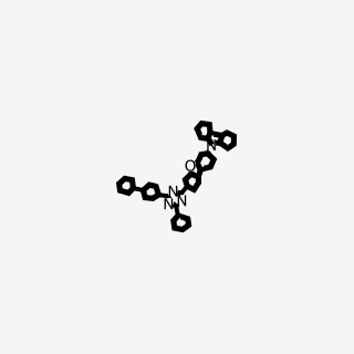 c1ccc(-c2ccc(-c3nc(-c4ccccc4)nc(-c4ccc5c(c4)oc4cc(-n6c7ccccc7c7ccccc76)ccc45)n3)cc2)cc1